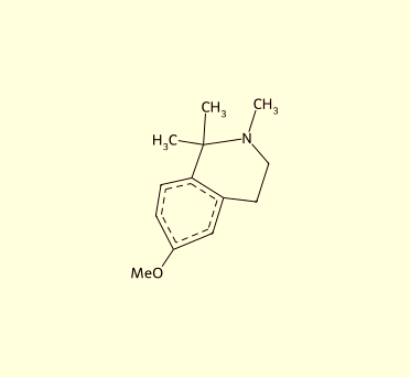 COc1ccc2c(c1)CCN(C)C2(C)C